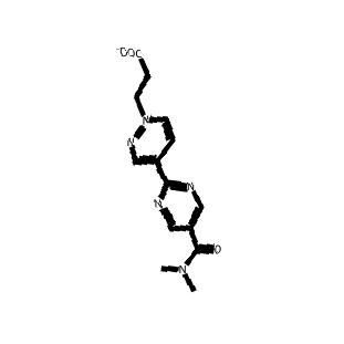 CN(C)C(=O)c1cnc(-c2cc[n+](CCC(=O)[O-])nc2)nc1